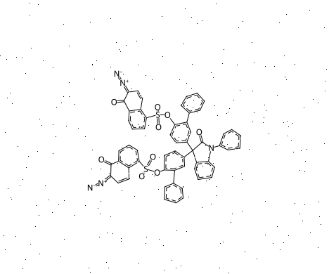 [N-]=[N+]=C1C=Cc2c(cccc2S(=O)(=O)Oc2ccc(C3(c4ccc(OS(=O)(=O)c5cccc6c5C=CC(=[N+]=[N-])C6=O)c(-c5ccccc5)c4)C(=O)N(c4ccccc4)c4ccccc43)cc2-c2ccccc2)C1=O